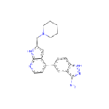 Nc1n[nH]c2ccc(-c3ccnc4[nH]c(CN5CCCCC5)cc34)cc12